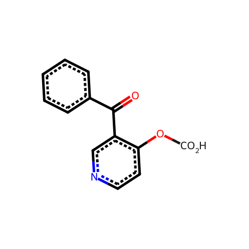 O=C(O)Oc1ccncc1C(=O)c1ccccc1